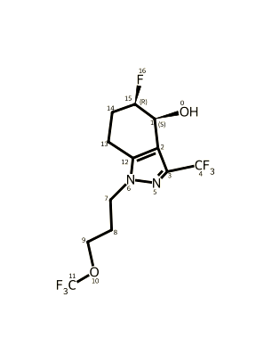 O[C@H]1c2c(C(F)(F)F)nn(CCCOC(F)(F)F)c2CC[C@H]1F